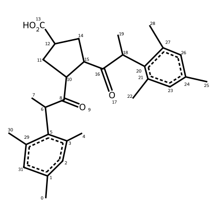 Cc1cc(C)c(C(C)C(=O)C2CC(C(=O)O)CC2C(=O)C(C)c2c(C)cc(C)cc2C)c(C)c1